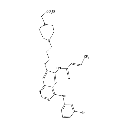 CCOC(=O)CN1CCN(CCCOc2cc3ncnc(Nc4cccc(Br)c4)c3cc2NC(=O)C=CC(F)(F)F)CC1